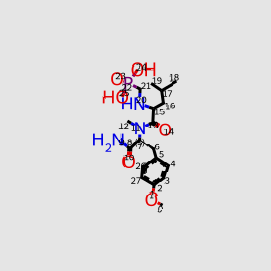 COc1ccc(C[C@@H](C(N)=O)N(C)C(=O)C(CC(C)C)NCP(=O)(O)O)cc1